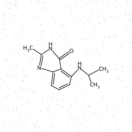 Cc1nc2cccc(NC(C)C)c2c(=O)[nH]1